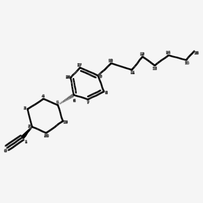 C#C[C@H]1CC[C@H](c2ccc(CCCCCCC)cc2)CC1